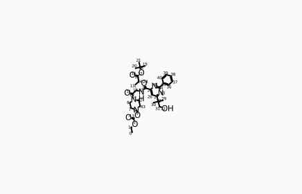 CCOC(=O)ON1CCN(C(=O)[C@H](CCC(=O)OC(C)(C)C)NC(=O)c2cc(C(C)(C)CO)nc(-c3ccccc3)n2)CC1